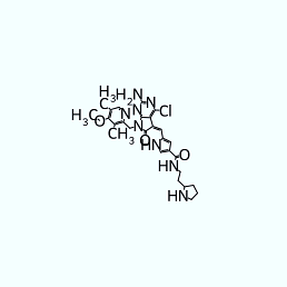 COc1c(C)cnc(CN2C(=O)/C(=C\c3cc(C(=O)NCCC4CCCN4)c[nH]3)c3c(Cl)nc(N)nc32)c1C